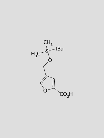 CC(C)(C)[Si](C)(C)OCc1coc(C(=O)O)c1